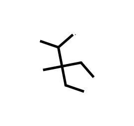 [CH2]C(C)C(C)(CC)CC